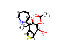 CC(=O)OC1=C(O)c2cscc2C(C)(C2=CC=CC=CN2)C1=O